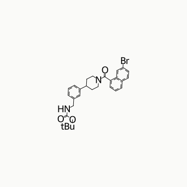 CC(C)(C)OC(=O)NCc1cccc(C2CCN(C(=O)c3cccc4ccc(Br)cc34)CC2)c1